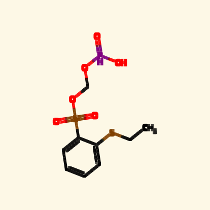 CCSc1ccccc1S(=O)(=O)OCO[PH](=O)O